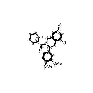 COc1ccc([C@H](Cc2c(Cl)c[n+]([O-])cc2Cl)OC(=O)[C@@H]2CCCCN2)cc1OC